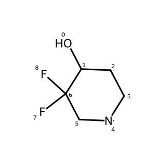 OC1CC[N]CC1(F)F